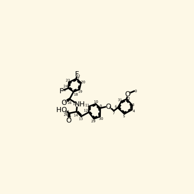 COc1cccc(COc2ccc(C=C(NC(=O)c3ccc(F)cc3F)C(=O)O)cc2)c1